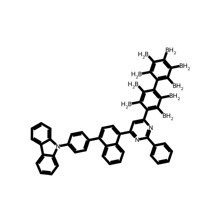 Bc1c(B)c(B)c(-c2c(B)c(B)c(-c3cc(-c4ccc(-c5ccc(-n6c7ccccc7c7ccccc76)cc5)c5ccccc45)nc(-c4ccccc4)n3)c(B)c2B)c(B)c1B